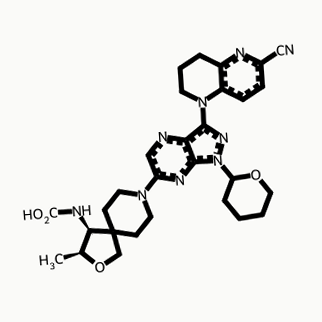 C[C@@H]1OCC2(CCN(c3cnc4c(N5CCCc6nc(C#N)ccc65)nn(C5CCCCO5)c4n3)CC2)[C@@H]1NC(=O)O